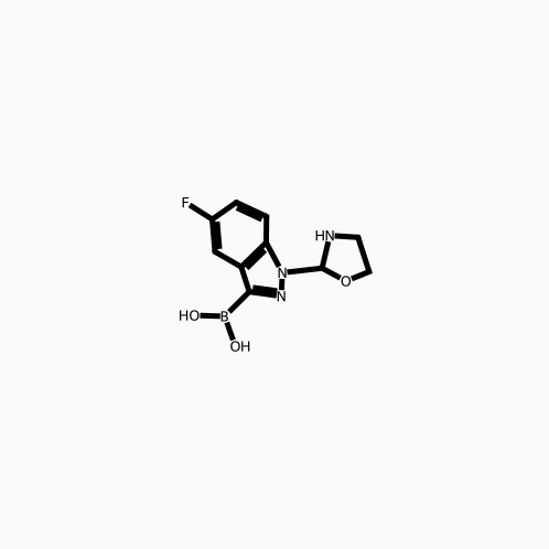 OB(O)c1nn(C2NCCO2)c2ccc(F)cc12